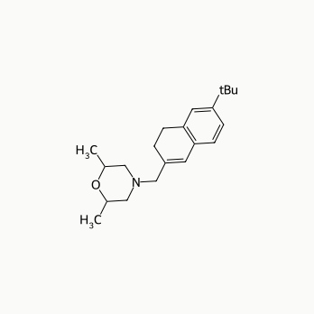 CC1CN(CC2=Cc3ccc(C(C)(C)C)cc3CC2)CC(C)O1